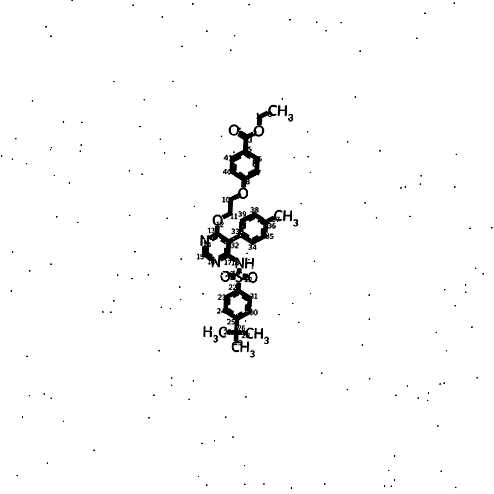 CCOC(=O)c1ccc(OCCOc2ncnc(NS(=O)(=O)c3ccc(C(C)(C)C)cc3)c2-c2ccc(C)cc2)cc1